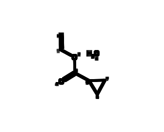 C=COC(=O)C1CC1.O